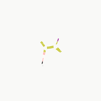 CCCB=S(=S)=[SH](=S)I